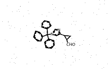 O=CC1CC1c1cn(C(c2ccccc2)(c2ccccc2)c2ccccc2)cn1